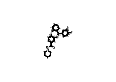 O=C(NN1CCCCC1)c1ccc2c(c1)N=C(c1ccc(F)c(F)c1)c1ccccc1S2